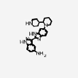 Nc1ccc2[nH]nc(-c3nc4ccc(N5CCCCC5C5CCNCC5)cc4[nH]3)c2c1